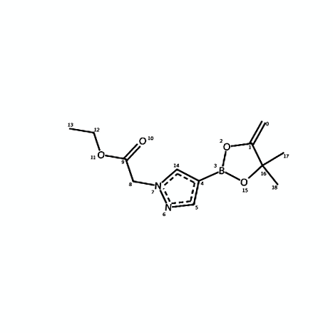 C=C1OB(c2cnn(CC(=O)OCC)c2)OC1(C)C